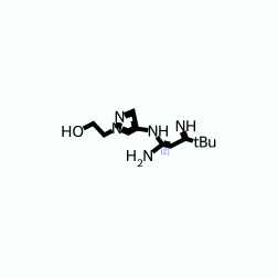 CC(C)(C)C(=N)/C=C(/N)Nc1cnn(CCO)c1